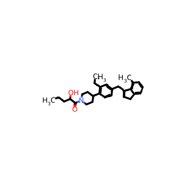 CCCC(O)C(=O)N1CCC(c2ccc(CC3CCc4cccc(C)c43)cc2CC)CC1